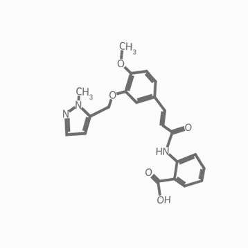 COc1ccc(C=CC(=O)Nc2ccccc2C(=O)O)cc1OCc1ccnn1C